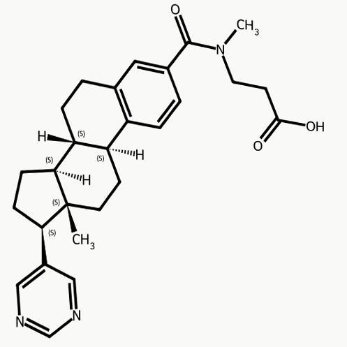 CN(CCC(=O)O)C(=O)c1ccc2c(c1)CC[C@@H]1[C@@H]2CC[C@]2(C)[C@@H](c3cncnc3)CC[C@@H]12